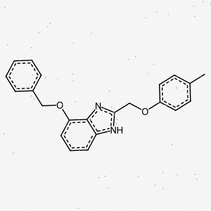 Cc1ccc(OCc2nc3c(OCc4ccccc4)cccc3[nH]2)cc1